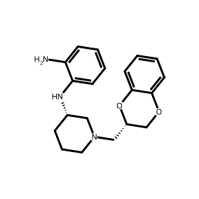 Nc1ccccc1N[C@H]1CCCN(C[C@H]2COc3ccccc3O2)C1